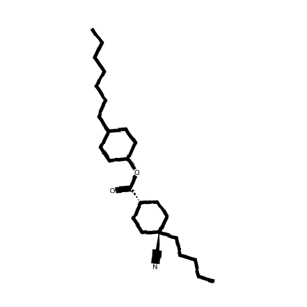 CCCCCCCC1CCC(OC(=O)[C@H]2CC[C@@](C#N)(CCCCC)CC2)CC1